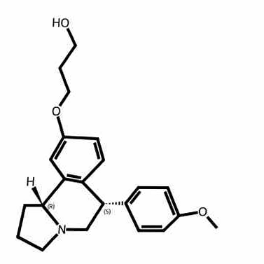 COc1ccc([C@@H]2CN3CCC[C@@H]3c3cc(OCCCO)ccc32)cc1